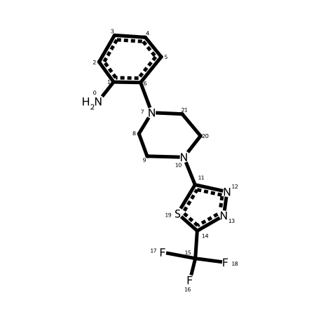 Nc1ccccc1N1CCN(c2nnc(C(F)(F)F)s2)CC1